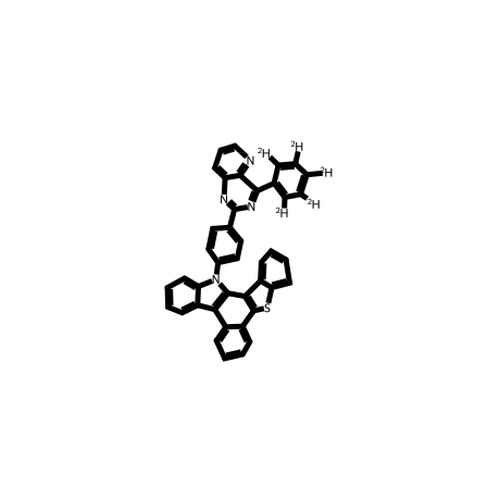 [2H]c1c([2H])c([2H])c(-c2nc(-c3ccc(-n4c5ccccc5c5c6ccccc6c6sc7ccccc7c6c54)cc3)nc3cccnc23)c([2H])c1[2H]